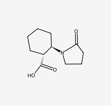 O=C(O)[C@@H]1CCCC[C@H]1N1CCCC1=O